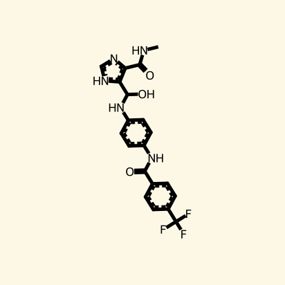 CNC(=O)c1nc[nH]c1C(O)Nc1ccc(NC(=O)c2ccc(C(F)(F)F)cc2)cc1